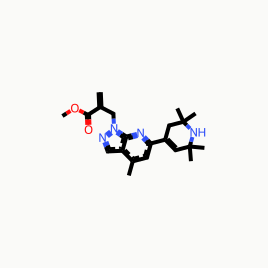 C=C(Cn1ncc2c(C)cc(C3=CC(C)(C)NC(C)(C)C3)nc21)C(=O)OC